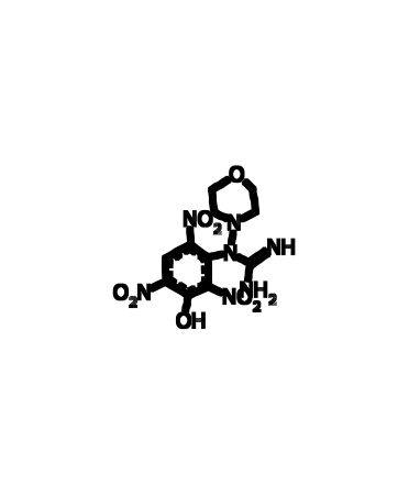 N=C(N)N(c1c([N+](=O)[O-])cc([N+](=O)[O-])c(O)c1[N+](=O)[O-])N1CCOCC1